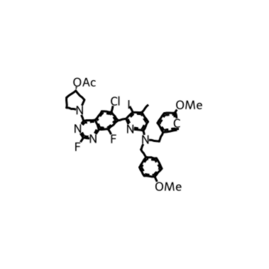 COc1ccc(CN(Cc2ccc(OC)cc2)c2cc(C)c(I)c(-c3c(Cl)cc4c(N5CC[C@H](OC(C)=O)C5)nc(F)nc4c3F)n2)cc1